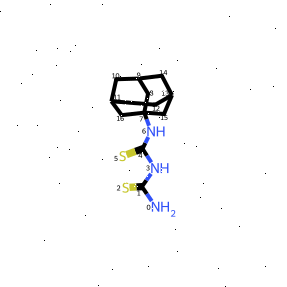 NC(=S)NC(=S)NC12CC3CC(CC(C3)C1)C2